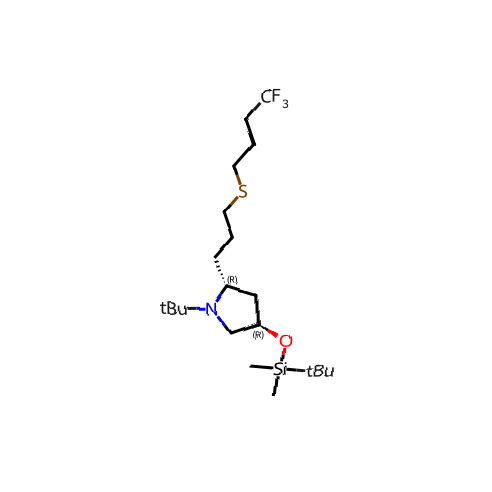 CC(C)(C)N1C[C@H](O[Si](C)(C)C(C)(C)C)C[C@H]1CCCSCCCC(F)(F)F